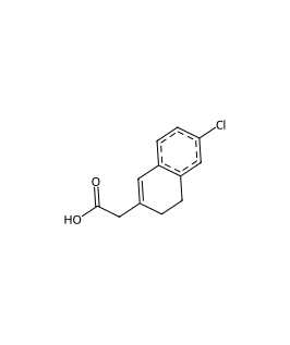 O=C(O)CC1=Cc2ccc(Cl)cc2CC1